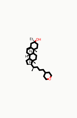 CC[C@]1(O)CC[C@@]2(C)C(=CC[C@H]3[C@@H]4CC[C@H]([C@H](C)CCCC5CCOCC5)[C@@]4(C)CC[C@@H]32)C1